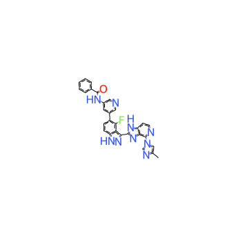 Cc1cn(-c2nccc3[nH]c(-c4n[nH]c5ccc(-c6cncc(NC(=O)c7ccccc7)c6)c(F)c45)nc23)cn1